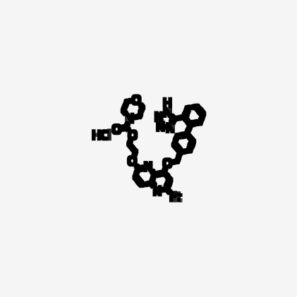 CCc1cc(OCc2ccc(-c3ccccc3-c3nnn[nH]3)cc2)c2nc(OCCOC(=O)N3CCOCC3)ccc2n1.Cl